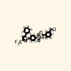 O=C(NS(=O)(=O)c1ccc(-n2nc(C(F)(F)F)cc2C2=CCCC=C2)cc1)c1cccc(CCl)c1